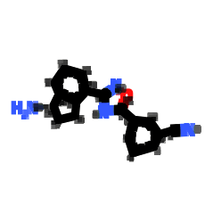 N#Cc1cccc(-c2nc(-c3cccc4c3CC[C@@H]4N)no2)c1